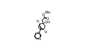 CC(C)(C)OC(=O)C[C@]1(O)C[C@H]2CC[C@@H]1C=C2c1cccnc1